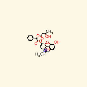 C[C@@H](O)CC(=O)O[C@H](C(=O)OC1=CC[C@@]2(O)[C@H]3Cc4ccc(O)c5c4C2(CCN3C)C1O5)c1ccccc1